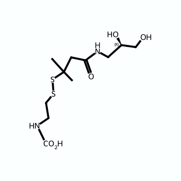 CC(C)(CC(=O)NC[C@@H](O)CO)SSCCNC(=O)O